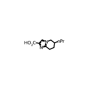 CCCC1CCc2nc(C(=O)O)cn2C1